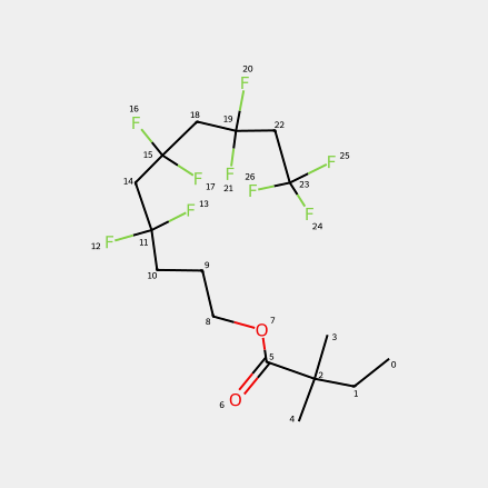 CCC(C)(C)C(=O)OCCCC(F)(F)CC(F)(F)CC(F)(F)CC(F)(F)F